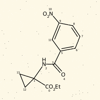 CCOC(=O)C1(NC(=O)c2cccc([N+](=O)[O-])c2)CC1